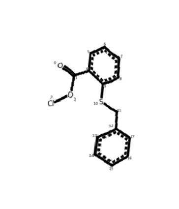 O=C(OCl)c1ccccc1SCc1ccccc1